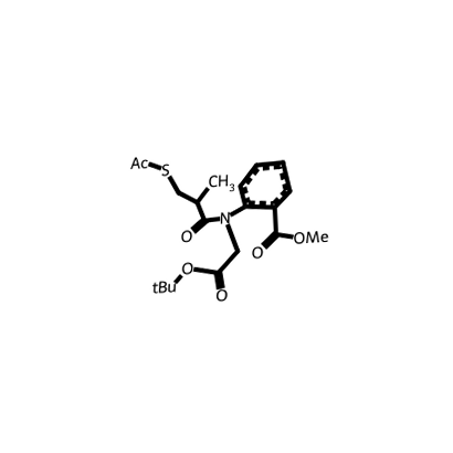 COC(=O)c1ccccc1N(CC(=O)OC(C)(C)C)C(=O)C(C)CSC(C)=O